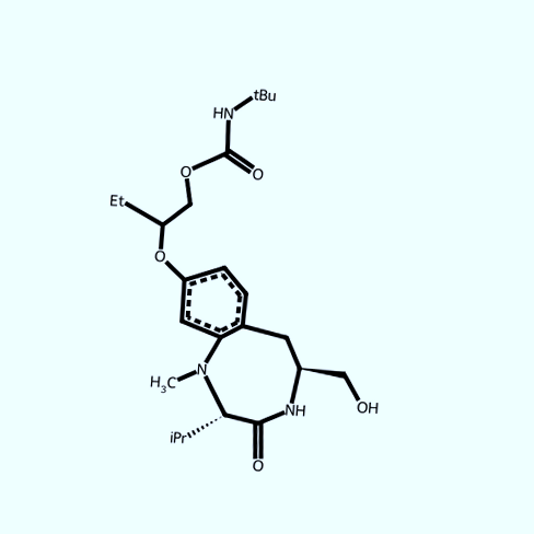 CCC(COC(=O)NC(C)(C)C)Oc1ccc2c(c1)N(C)[C@@H](C(C)C)C(=O)N[C@H](CO)C2